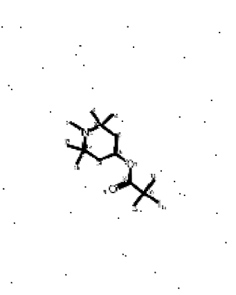 CN1C(C)(C)CC(OC(=O)C(C)(C)I)CC1(C)C